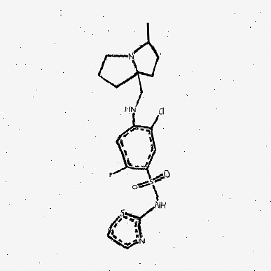 CC1CCC2(CNc3cc(F)c(S(=O)(=O)Nc4nccs4)cc3Cl)CCCN12